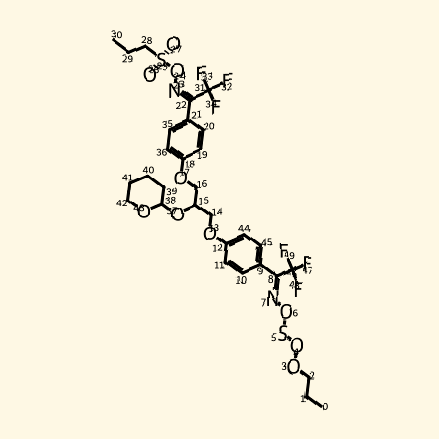 CCCOOSO/N=C(/c1ccc(OCC(COc2ccc(/C(=N/OS(=O)(=O)CCC)C(F)(F)F)cc2)OC2CCCCO2)cc1)C(F)(F)F